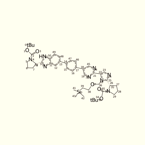 CC(C)(C)OC(=O)N1CCC[C@H]1c1nc2cc(-c3ccc(-c4cnc(-c5cnc([C@@H]6CCCN6C(=O)OC(C)(C)C)n5COCC[Si](C)(C)C)nc4)cc3)ccc2[nH]1